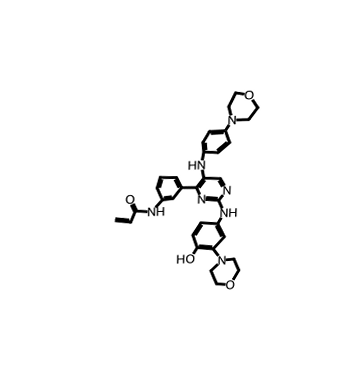 C=CC(=O)Nc1cccc(-c2nc(Nc3ccc(O)c(N4CCOCC4)c3)ncc2Nc2ccc(N3CCOCC3)cc2)c1